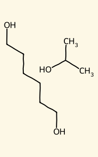 CC(C)O.OCCCCCCO